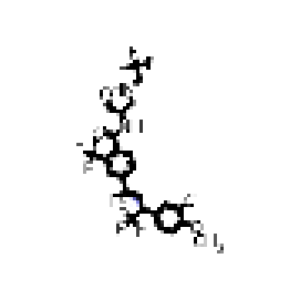 COc1ccc(C(/C=C(\F)c2ccc(C(=O)NC(C=O)CNCC(F)(F)F)c(C(F)(F)F)c2)C(F)(F)F)cc1Cl